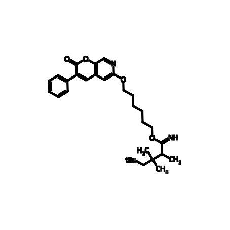 CC(C(=N)OCCCCCCOc1cc2cc(-c3ccccc3)c(=O)oc2cn1)C(C)(C)CC(C)(C)C